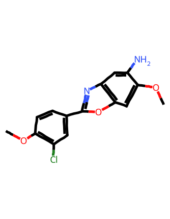 COc1cc2oc(-c3ccc(OC)c(Cl)c3)nc2cc1N